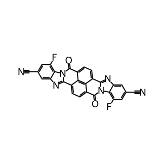 N#Cc1cc(F)c2c(c1)nc1c3ccc4c(=O)n5c(nc6cc(C#N)cc(F)c65)c5ccc(c(=O)n12)c3c45